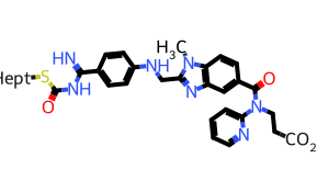 CCCCCCCSC(=O)NC(=N)c1ccc(NCc2nc3cc(C(=O)N(CCC(=O)OCC)c4ccccn4)ccc3n2C)cc1